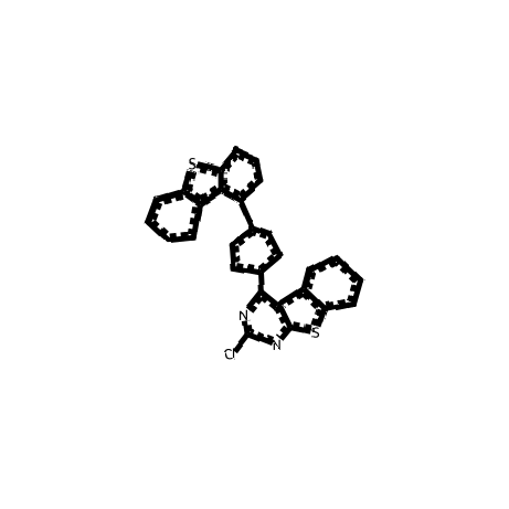 Clc1nc(-c2ccc(-c3cccc4sc5ccccc5c34)cc2)c2c(n1)sc1ccccc12